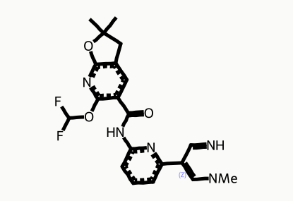 CN/C=C(\C=N)c1cccc(NC(=O)c2cc3c(nc2OC(F)F)OC(C)(C)C3)n1